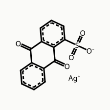 O=C1c2ccccc2C(=O)c2c1cccc2S(=O)(=O)[O-].[Ag+]